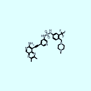 Cc1nc2cnc(N)c(C#Cc3cncc(NS(=O)(=O)Nc4ccc(CN5CCN(C)CC5)c(C(F)(F)F)c4)c3)c2nc1C